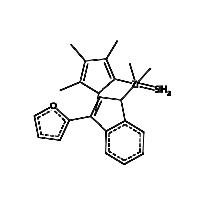 CC1=C(C)C(C)[C]([Zr]([CH3])([CH3])(=[SiH2])[CH]2C=C(c3ccco3)c3ccccc32)=C1C